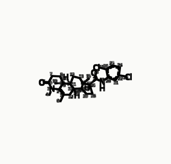 CC1=C2N(C)C(=O)CC[C@]2(C)[C@H]2CC[C@]3(C)[C@@H](C(=O)Nc4cc(Cl)ccc4Cl)CC[C@H]3[C@@H]2C1